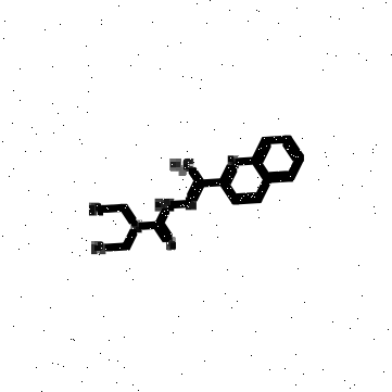 CC(=NNC(=S)N(CC(C)C)CC(C)C)c1ccc2ccccc2n1